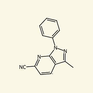 Cc1nn(-c2ccccc2)c2nc(C#N)c[c]c12